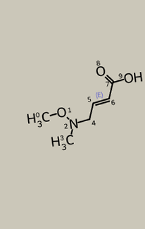 CON(C)C/C=C/C(=O)O